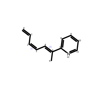 C=C/C=C\C=C(/C)c1ccccn1